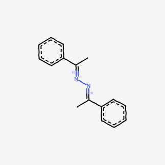 C/C(=N\N=C(/C)c1ccccc1)c1ccccc1